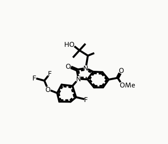 COC(=O)c1ccc2c(c1)n(C(C)C(C)(C)O)c(=O)n2-c1cc(OC(F)F)ccc1F